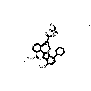 COC(=O)[C@@H]1CC=CC2=C3C(=C3C(=O)NS(=O)(=O)CC(C)C)Cn3c(cc4c(OC)ccc(C5CCCCC5)c43)C21